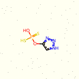 OP(=S)(S)Oc1c[nH]nn1